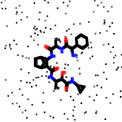 CCCC(NC(=O)C1C2C=CC(C2)C1NC(=O)C(NC(=O)C(N)C1CCCCC1)C(C)(C)C)C(O)C(=O)NC1CC1